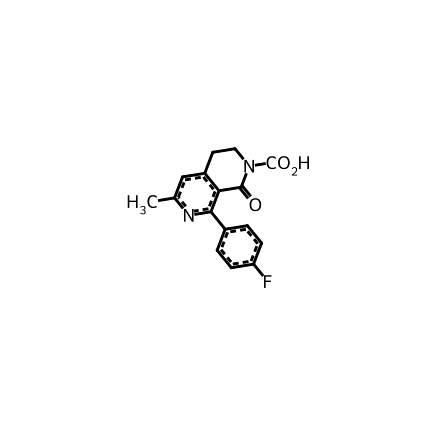 Cc1cc2c(c(-c3ccc(F)cc3)n1)C(=O)N(C(=O)O)CC2